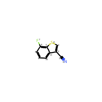 N#Cc1csc2c(F)cccc12